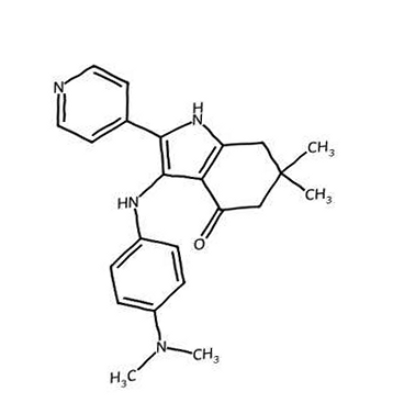 CN(C)c1ccc(Nc2c(-c3ccncc3)[nH]c3c2C(=O)CC(C)(C)C3)cc1